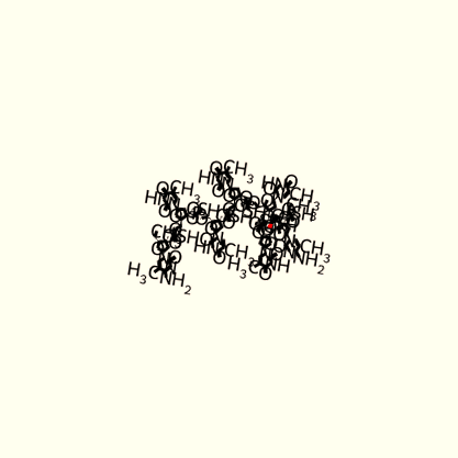 CC[C@H]1O[C@@H](n2cc(C)c(N)nc2=O)C[C@H]1OP(=O)(S)OC[C@H]1O[C@@H](n2cc(C)c(=O)[nH]c2=O)C[C@H]1OP(=O)(S)OC[C@H]1O[C@@H](n2cc(C)c(=O)[nH]c2=O)C[C@H]1OP(=O)(S)OC[C@H]1O[C@@H](n2cc(C)c(=O)[nH]c2=O)C[C@H]1OP(=O)(S)OC[C@H]1O[C@@H](n2cc(C)c(=O)[nH]c2=O)C[C@H]1OP(=O)(S)OC[C@H]1O[C@@H](n2cc(C)c(=O)[nH]c2=O)C[C@H]1OP(=O)(S)OC[C@H]1O[C@@H](n2cc(C)c(N)nc2=O)C[C@H]1OP(=O)(S)OC